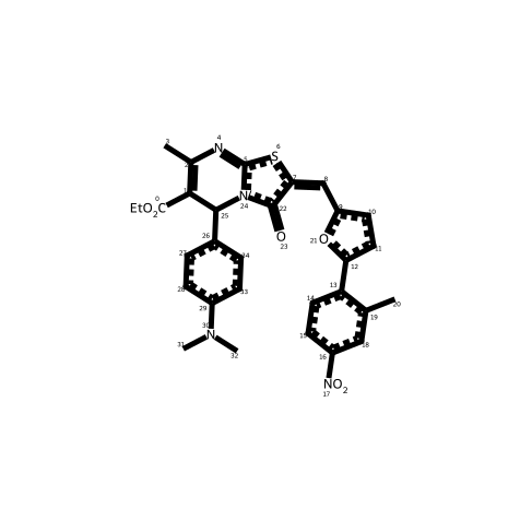 CCOC(=O)C1=C(C)N=c2sc(=Cc3ccc(-c4ccc([N+](=O)[O-])cc4C)o3)c(=O)n2C1c1ccc(N(C)C)cc1